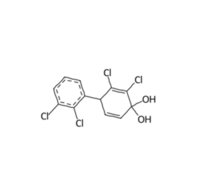 OC1(O)C=CC(c2cccc(Cl)c2Cl)C(Cl)=C1Cl